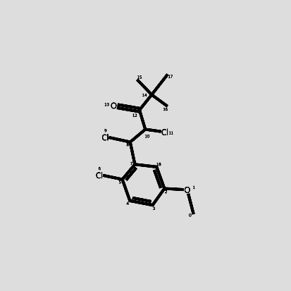 COc1ccc(Cl)c(C(Cl)C(Cl)C(=O)C(C)(C)C)c1